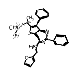 C[C@H](N)c1sc2c(NCc3ccco3)nc(-c3ccccc3)nc2c1-c1ccccc1.O=CO